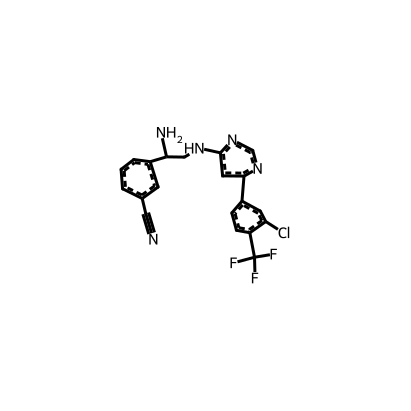 N#Cc1cccc(C(N)CNc2cc(-c3ccc(C(F)(F)F)c(Cl)c3)ncn2)c1